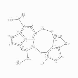 CCC(O)c1cc2c(n3cnnc13)N(C(=O)OC(C)(C)C)Cc1c(F)ccc3c1[C@H](CO3)CO2